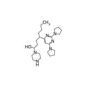 CCCCC(CCC(O)N1CCNCC1)c1cc(N2CCCC2)nc(N2CCCC2)n1